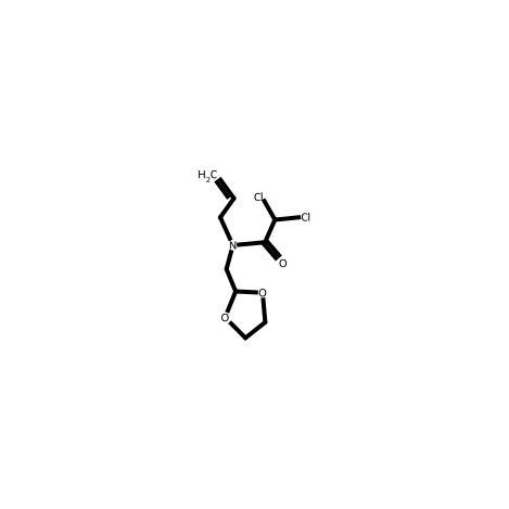 C=CCN(CC1OCCO1)C(=O)C(Cl)Cl